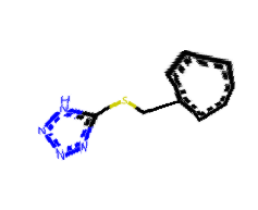 [CH](Sc1nnn[nH]1)c1ccccc1